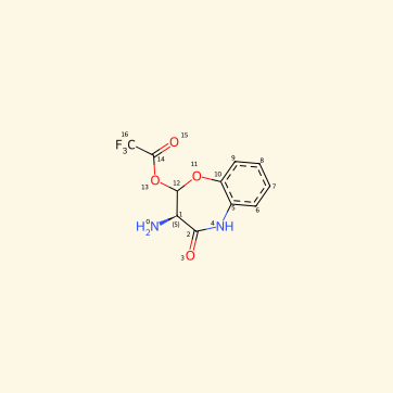 N[C@@H]1C(=O)Nc2ccccc2OC1OC(=O)C(F)(F)F